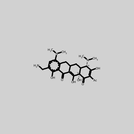 CC(=O)C1=C(O)[C@@H](N(C)C)C2CC3Cc4c(N(C)C)cc(CN)c(O)c4C(=O)C3=C(O)[C@]2(O)C1=O